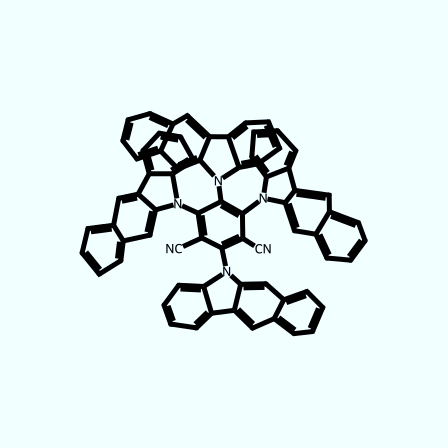 N#Cc1c(-n2c3ccccc3c3cc4ccccc4cc32)c(C#N)c(-n2c3ccccc3c3cc4ccccc4cc32)c(-n2c3ccccc3c3cc4ccccc4cc32)c1-n1c2ccccc2c2cc3ccccc3cc21